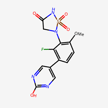 COc1ccc(-c2cnc(O)nc2)c(F)c1N1CC(=O)NS1(=O)=O